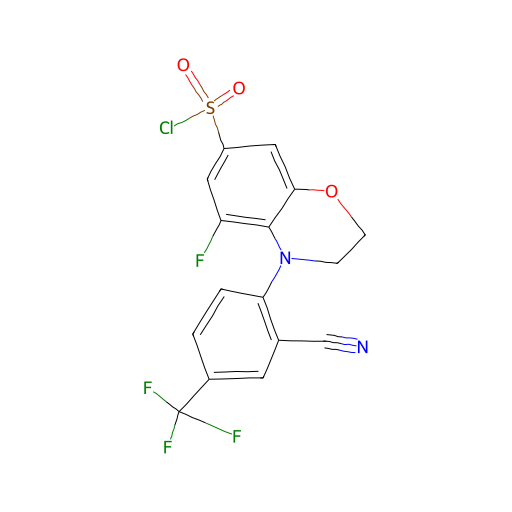 N#Cc1cc(C(F)(F)F)ccc1N1CCOc2cc(S(=O)(=O)Cl)cc(F)c21